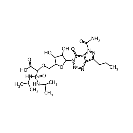 CCCc1nn(C(N)=O)c2c(=O)n(C3OC(COC(C(=O)O)P(=O)(NC(C)C)NC(C)C)C(O)C3O)nnc12